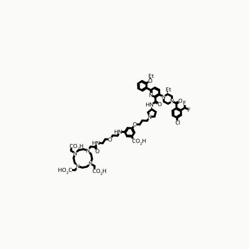 CCOc1ccccc1-c1ccc(N2CCN(C(=O)c3ccc(Cl)cc3C(F)F)C[C@H]2CC)c(C(=O)N[C@@H]2CCN(CCCOc3cc(NCCOCCNC(=O)CN4CCN(CC(=O)O)CCN(CC(=O)O)CCN(CC(=O)O)CC4)cc(C(=O)O)c3)C2)n1